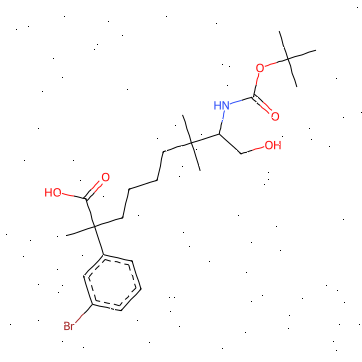 CC(C)(C)OC(=O)NC(CO)C(C)(C)CCCCC(C)(C(=O)O)c1cccc(Br)c1